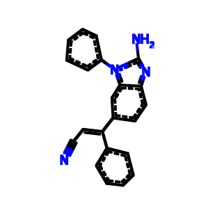 N#CC=C(c1ccccc1)c1ccc2nc(N)n(-c3ccccc3)c2c1